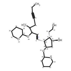 CCC#CCC(C)C(/C=C/[C@@H]1[C@H](CCO)[C@@H](O)C[C@H]1OC1CCCCO1)OC1CCCCO1